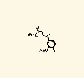 CCN(CCN(C)c1ccc(C)c(OC)c1)C(=O)C(C)C